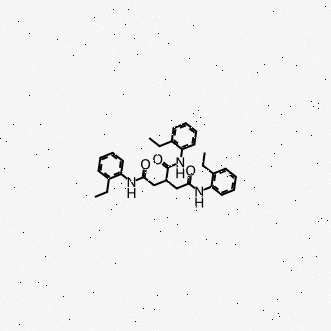 CCc1ccccc1NC(=O)CC(CC(=O)Nc1ccccc1CC)C(=O)Nc1ccccc1CC